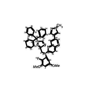 COc1cc(OC)c(F)c(N(Cc2ncn(C(c3ccccc3)(c3ccccc3)c3ccccc3)n2)c2ccc3ncc(-c4cnn(C)c4)cc3n2)c1